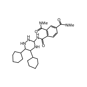 CNC(=O)c1ccc(C(=O)NC2NNC(C3CCCCC3)C(C3CCCCC3)N2)c(C(=O)NC)c1